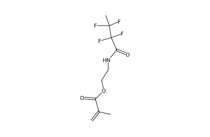 C=C(C)C(=O)OCCNC(=O)C(F)(F)C(C)(F)F